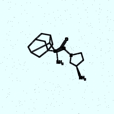 NC(=O)C12CC3CC(C1)C(OC(=O)N1CC[C@@H](N)C1)C(C3)C2